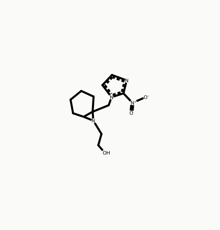 O=[N+]([O-])c1nccn1CC12CCCCC1N2CCO